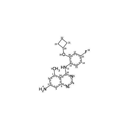 Cc1cc(N)cc2ncnc(Nc3ccc(F)cc3OC3CCC3)c12